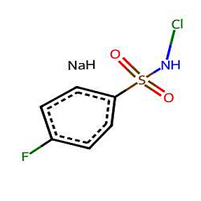 O=S(=O)(NCl)c1ccc(F)cc1.[NaH]